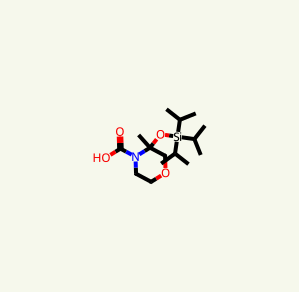 CC(C)[Si](OC1(C)COCCN1C(=O)O)(C(C)C)C(C)C